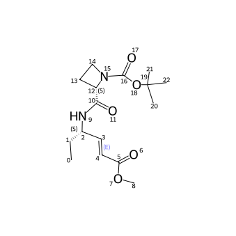 CC[C@@H](/C=C/C(=O)OC)NC(=O)[C@@H]1CCN1C(=O)OC(C)(C)C